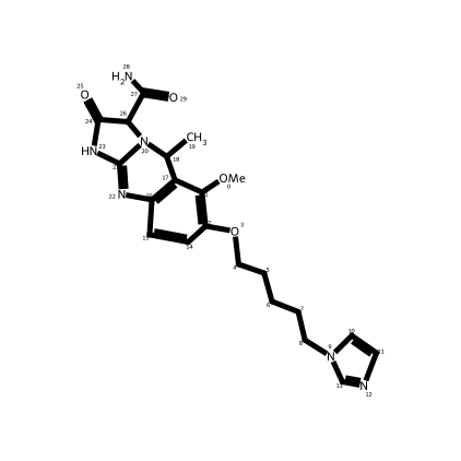 COc1c(OCCCCCn2ccnc2)ccc2c1C(C)N1C(=N2)NC(=O)C1C(N)=O